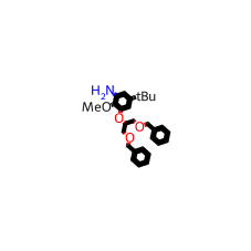 COc1c(N)cc(C(C)(C)C)cc1OC(COCc1ccccc1)COCc1ccccc1